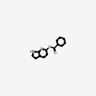 O=C(Oc1ccc2cc[nH]c2n1)c1ccccc1